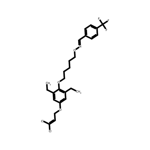 CCc1cc(OCC=C(Cl)Cl)cc(CC)c1OCCCCCO/N=C/c1ccc(C(F)(F)F)cc1